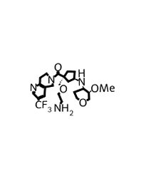 CO[C@@H]1COCC[C@@H]1N[C@@H]1CC[C@](COCCN)(C(=O)N2CCc3ncc(C(F)(F)F)cc3C2)C1